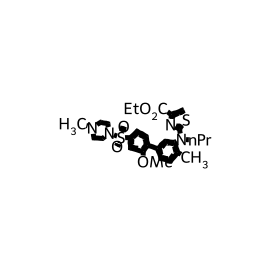 CCCN(c1nc(C(=O)OCC)cs1)c1cc(-c2ccc(S(=O)(=O)N3CCN(C)CC3)cc2OC)ccc1C